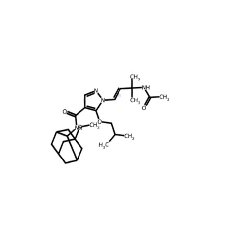 COC12CC3CC(C1)C(NC(=O)c1cnn(/C=C/C(C)(C)NC(C)=O)c1OCC(C)C)C(C3)C2